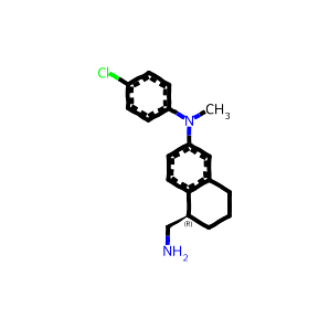 CN(c1ccc(Cl)cc1)c1ccc2c(c1)CCC[C@H]2CN